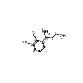 N[C@@H](CCO)c1cccc(F)c1Cl